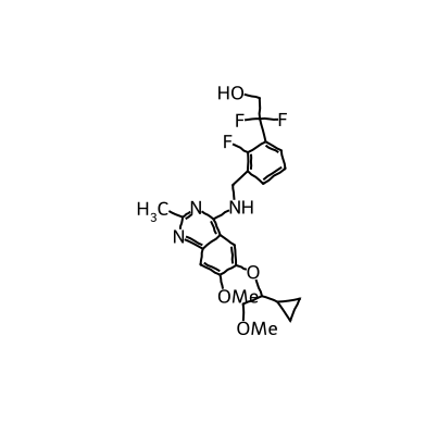 COCC(Oc1cc2c(NCc3cccc(C(F)(F)CO)c3F)nc(C)nc2cc1OC)C1CC1